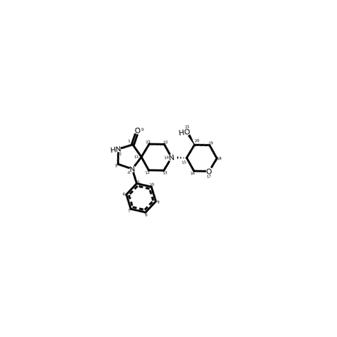 O=C1NCN(c2ccccc2)C12CCN([C@H]1COCC[C@@H]1O)CC2